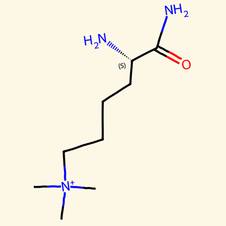 C[N+](C)(C)CCCC[C@H](N)C(N)=O